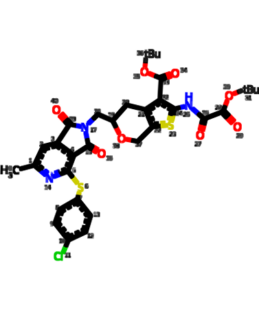 Cc1cc2c(c(Sc3ccc(Cl)cc3)n1)C(=O)N(CC1Cc3c(sc(NC(=O)C(=O)OC(C)(C)C)c3C(=O)OC(C)(C)C)CO1)C2=O